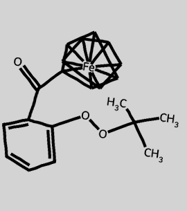 CC(C)(C)OOc1ccccc1C(=O)[C]12[CH]3[CH]4[CH]5[CH]1[Fe]45321678[CH]2[CH]1[CH]6[CH]7[CH]28